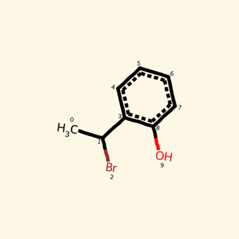 CC(Br)c1ccccc1O